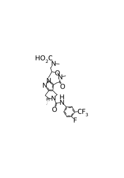 C[C@@H]1Cc2nn3c(c2CN1C(=O)Nc1ccc(F)c(C(F)(F)F)c1)C(=O)N(C)OC(CN(C)C(=O)O)C3